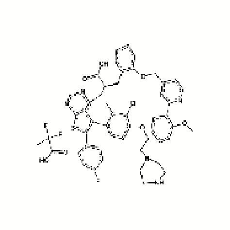 COc1ccccc1-c1nccc(COc2ccccc2C[C@@H](Cc2ncnc3sc(-c4ccc(F)cc4)c(-c4ccc(OCCN5CCNCC5)c(Cl)c4C)c23)C(=O)O)n1.O=C(O)C(F)(F)F